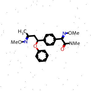 CNC(=O)C(=NOC)c1ccc(C(CC(C)=NOC)Oc2ccccc2)cc1